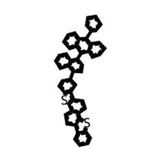 c1ccc(-c2c3ccccc3c(-c3ccc(-c4ccc5sc6c(ccc7c6ccc6c8ccccc8sc67)c5c4)c4ccccc34)c3ccccc23)cc1